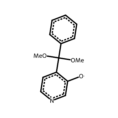 COC(OC)(c1ccccc1)c1ccncc1[O]